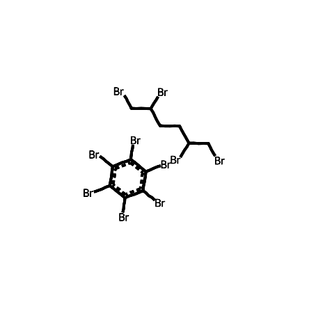 BrCC(Br)CCC(Br)CBr.Brc1c(Br)c(Br)c(Br)c(Br)c1Br